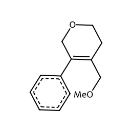 COCC1=C(c2ccccc2)COCC1